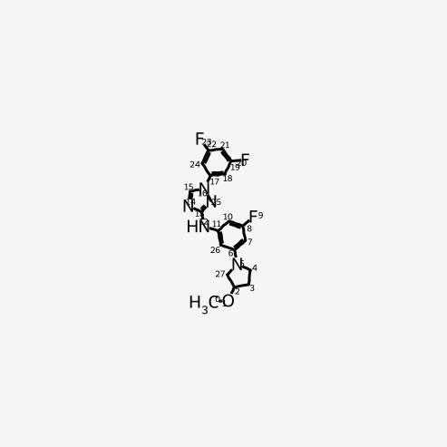 COC1CCN(c2cc(F)cc(Nc3ncn(-c4cc(F)cc(F)c4)n3)c2)C1